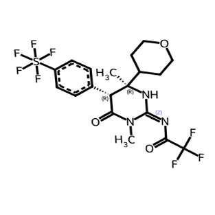 CN1C(=O)[C@H](c2ccc(S(F)(F)(F)(F)F)cc2)[C@@](C)(C2CCOCC2)N/C1=N/C(=O)C(F)(F)F